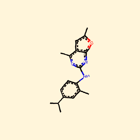 Cc1cc2c(C)nc(Nc3ccc(C(C)C)cc3C)nc2o1